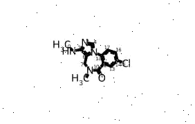 CNc1ncn2c1CN(C)C(=O)c1cc(Cl)ccc1-2